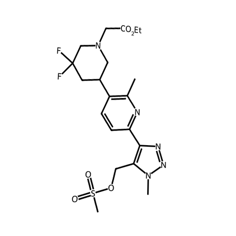 CCOC(=O)CN1CC(c2ccc(-c3nnn(C)c3COS(C)(=O)=O)nc2C)CC(F)(F)C1